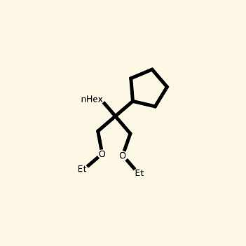 CCCCCCC(COCC)(COCC)C1CCCC1